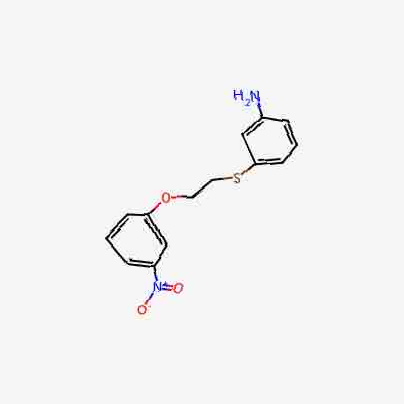 Nc1cccc(SCCOc2cccc([N+](=O)[O-])c2)c1